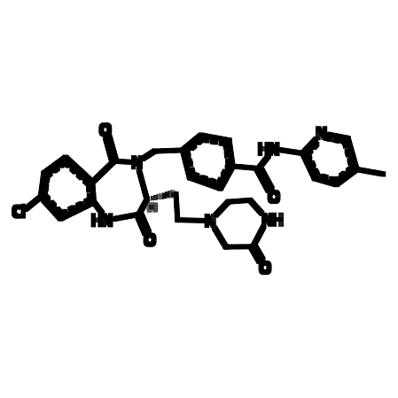 Cc1ccc(NC(=O)c2ccc(CN3C(=O)c4ccc(Cl)cc4NC(=O)[C@H]3CCN3CCNC(=O)C3)cc2)nc1